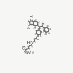 CC/C(=C(/c1ccc(OCCNC/C=C/C(=O)NC)cc1)c1ccc2[nH]nc(F)c2c1)c1ccccc1